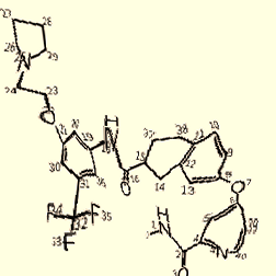 CNC(=O)c1cc(Oc2ccc3c(c2)CC(C(=O)Nc2cc(OCCN4CCCC4)cc(C(F)(F)F)c2)CC3)ccn1